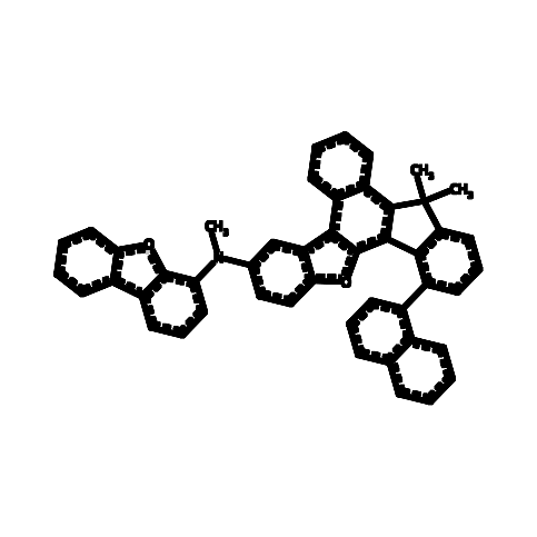 CN(c1ccc2oc3c4c(c5ccccc5c3c2c1)C(C)(C)c1cccc(-c2cccc3ccccc23)c1-4)c1cccc2c1oc1ccccc12